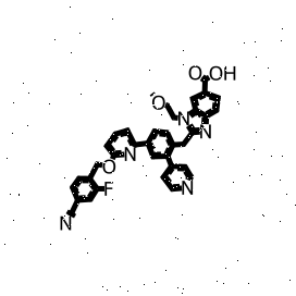 COCCn1c(Cc2ccc(-c3cccc(OCc4ccc(C#N)cc4F)n3)cc2-c2ccncc2)nc2ccc(C(=O)O)cc21